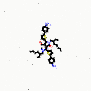 CCCCCC(CC)CN1C(=O)/C(=C(\c2ccc(-c3ccc(N)cc3)s2)N(C)CC(CC)CCCC)C(C=O)=C1c1ccc(-c2ccc(N)cc2)s1